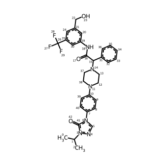 CC(C)n1ncn(-c2ccc(N3CCN(C(C(=O)Nc4cc(CO)cc(C(F)(F)F)c4)c4ccccc4)CC3)cc2)c1=O